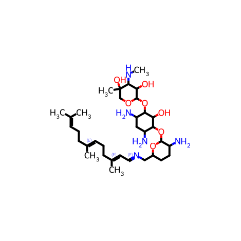 CNC1C(O)C(OC2C(N)CC(N)C(OC3OC(C/N=C/C=C(\C)CC/C=C(\C)CCC=C(C)C)CCC3N)C2O)OCC1(C)O